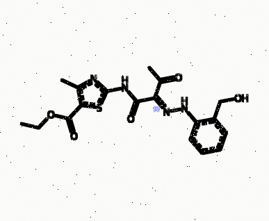 CCOC(=O)c1sc(NC(=O)/C(=N/Nc2ccccc2CO)C(C)=O)nc1C